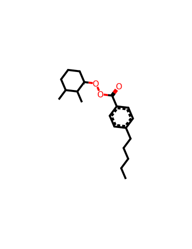 CCCCCc1ccc(C(=O)OO[C]2CCCC(C)C2C)cc1